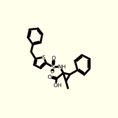 CC1C(c2ccccc2)C1(NS(=O)(=O)c1ccc(Cc2ccccc2)s1)C(=O)O